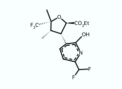 CCOC(=O)[C@@H]1O[C@@](C)(C(F)(F)F)[C@@H](C)[C@H]1c1ccc(C(F)F)nc1O